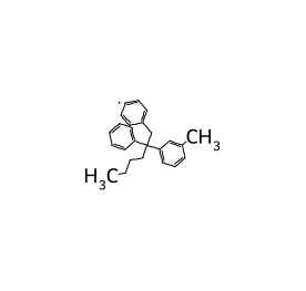 CCCCC(Cc1cc[c]cc1)(c1ccccc1)c1cccc(C)c1